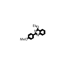 CCOc1nc(-c2ccc(OC)cc2)nc2ccccc12